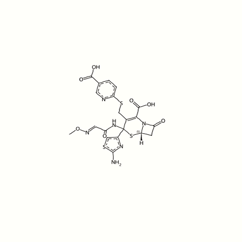 CON=CC(=O)NC1(c2csc(N)n2)S[C@H]2CC(=O)N2C(C(=O)O)=C1CSc1ccc(C(=O)O)cn1